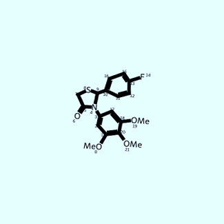 COc1cc(N2C(=O)CSC2c2ccc(F)cc2)cc(OC)c1OC